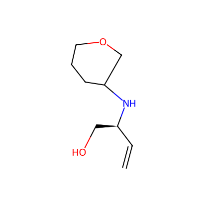 C=C[C@@H](CO)NC1CCCOC1